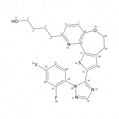 OCCCCc1ccc2c(n1)-c1sc(-c3ncnn3-c3ccc(F)cc3F)cc1CCO2